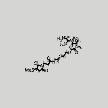 CSC1CC(=O)N(CCC(=O)NCCOCCOCC(=O)N(C)C(CC(C)=O)C(=O)NC(O)CN)C1=O